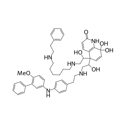 COc1ccc(Nc2ccc(CCNCC(O)C3(C(O)CNCCCCCCNCCc4ccccc4)C=CC(O)(O)c4[nH]c(=O)ccc43)cc2)cc1-c1ccccc1